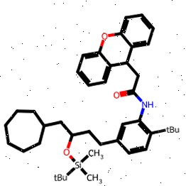 CC(C)(C)c1ccc(CCC(CC2CCCCCC2)O[Si](C)(C)C(C)(C)C)cc1NC(=O)CC1c2ccccc2Oc2ccccc21